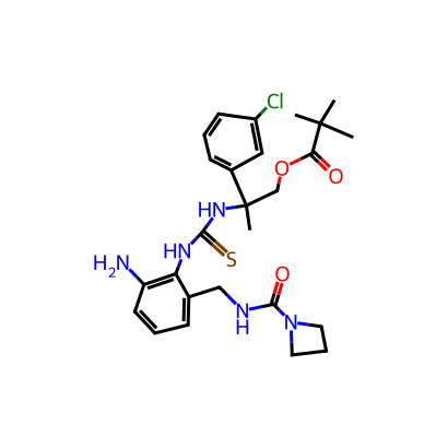 CC(C)(C)C(=O)OCC(C)(NC(=S)Nc1c(N)cccc1CNC(=O)N1CCC1)c1cccc(Cl)c1